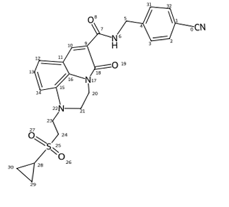 N#Cc1ccc(CNC(=O)c2cc3cccc4c3n(c2=O)CCN4CCS(=O)(=O)C2CC2)cc1